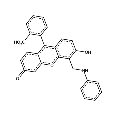 O=C(O)c1ccccc1-c1c2ccc(=O)cc-2oc2c(CNc3ccccc3)c(O)ccc12